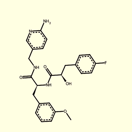 COc1cccc(C[C@H](NC(=O)[C@H](O)Cc2ccc(F)cc2)C(=O)NCc2ccc(N)nc2)c1